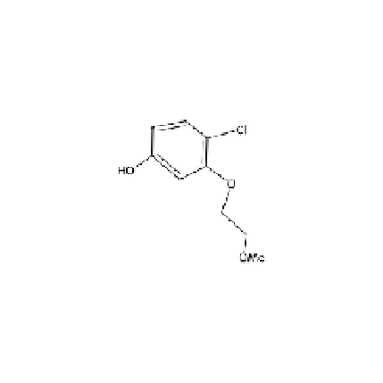 COCCOc1cc(O)ccc1Cl